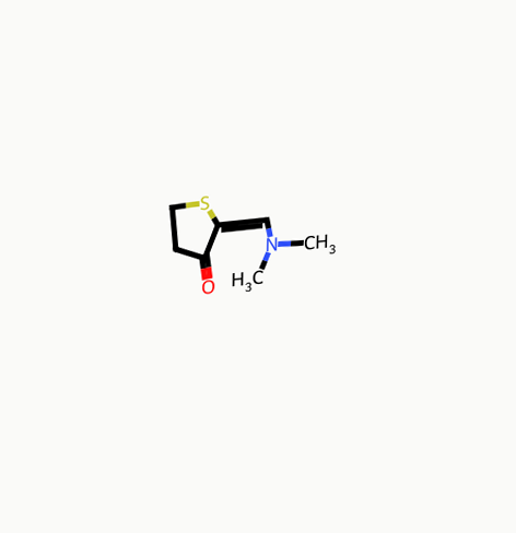 CN(C)/C=C1/SCCC1=O